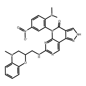 CN(C)c1ccc([N+](=O)[O-])cc1-n1c(=O)c2c[nH]nc2c2cnc(NCC3CN(C)c4ccccc4O3)nc21